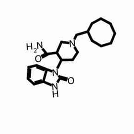 NC(=O)C1CN(CC2CCCCCCC2)CCC1n1c(=O)[nH]c2ccccc21